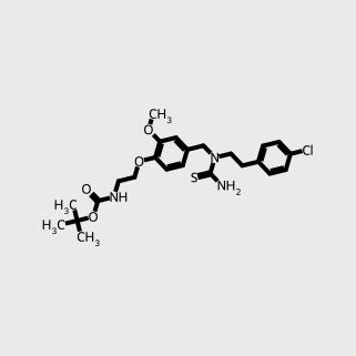 COc1cc(CN(CCc2ccc(Cl)cc2)C(N)=S)ccc1OCCNC(=O)OC(C)(C)C